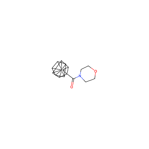 O=C(N1CCOCC1)[C]12[CH]3[CH]4[CH]5[CH]1[Fe]45321678[CH]2[CH]1[CH]6[CH]7[CH]28